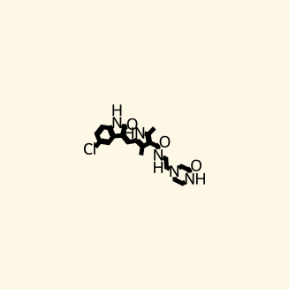 Cc1[nH]c(/C=C2\C(=O)Nc3ccc(Cl)cc32)c(C)c1C(=O)NCCN1CCNC(=O)C1